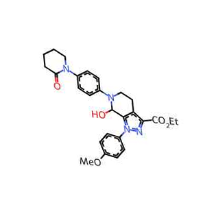 CCOC(=O)c1nn(-c2ccc(OC)cc2)c2c1CCN(c1ccc(N3CCCCC3=O)cc1)C2O